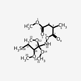 COC(=O)CC(C)C(=O)ONC(OC)(OC)C(C[SiH3])OC